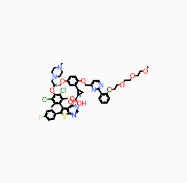 COCCOCCOCCOc1ccccc1-c1nccc(COc2ccc(OC[C@@H](CN3CCN(C)CC3)Oc3c(Cl)c(C)c(-c4c(-c5ccc(F)cc5)sc5ncnc(O)c45)c(C)c3Cl)cc2C2C[C@H]2C(=O)O)n1